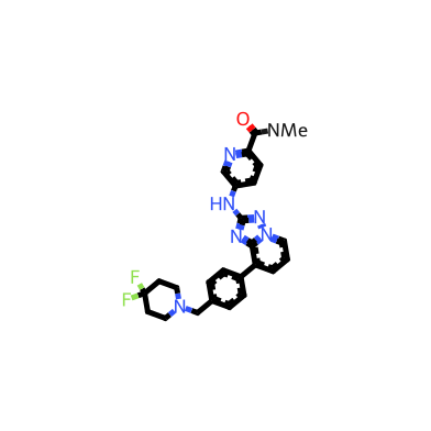 CNC(=O)c1ccc(Nc2nc3c(-c4ccc(CN5CCC(F)(F)CC5)cc4)cccn3n2)cn1